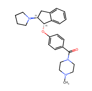 CN1CCN(C(=O)c2ccc(O[C@H]3c4ccccc4C[C@@H]3N3CCCC3)cc2)CC1